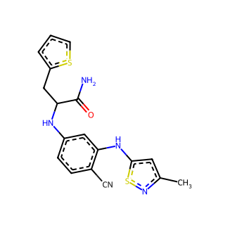 Cc1cc(Nc2cc(NC(Cc3cccs3)C(N)=O)ccc2C#N)sn1